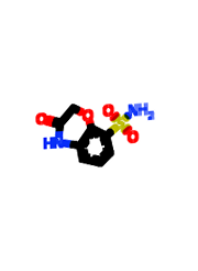 NS(=O)(=O)c1cccc2c1OCC(=O)N2